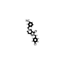 N#Cc1cccc(CN2CCC3=NN(Cc4ccc(Cl)cc4)C(=O)C3C2)c1